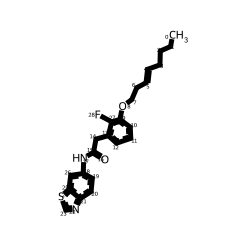 CCCCC=CCCOc1cccc(CC(=O)Nc2ccc3ncsc3c2)c1F